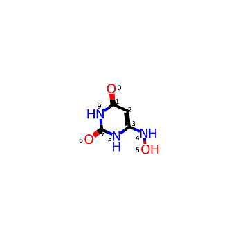 O=c1cc(NO)[nH]c(=O)[nH]1